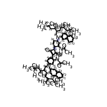 CC(=O)NC1=CC(=[N+](/CC(CCC(C)CC(C)(C)C)C(C)CC(C)(C)C)c2ccc3ccccc3c2)/C=CC/1=C1/C(=O)C(c2ccc(N(CC(CCC(C)CC(C)(C)C)C(C)CC(C)(C)C)c3ccc4ccccc4c3)cc2NC(C)=O)=C1[O-]